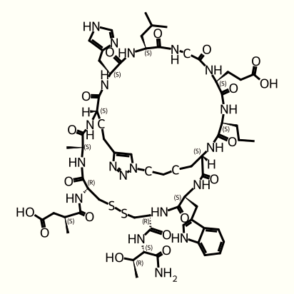 CCC[C@@H]1NC(=O)[C@H](CCC(=O)O)NC(=O)CNC(=O)[C@H](CC(C)C)NC(=O)[C@H](Cc2c[nH]cn2)NC(=O)[C@@H]2CCc3cn(nn3)CCCC[C@H](NC1=O)C(=O)N[C@@H](Cc1c[nH]c3ccccc13)C(=O)N[C@H](C(=O)N[C@H](C(N)=O)[C@@H](C)O)CSSC[C@H](NC(=O)[C@@H](C)CC(=O)O)C(=O)N[C@@H](C)C(=O)N2